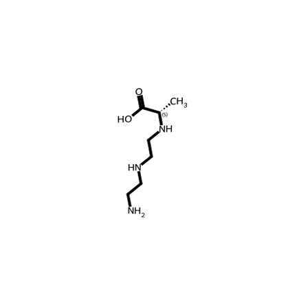 C[C@H](NCCNCCN)C(=O)O